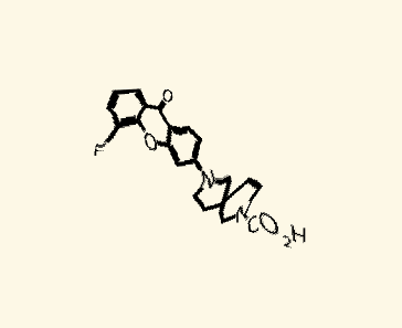 O=C(O)N1CCC2(CCN(c3ccc4c(=O)c5cccc(F)c5oc4c3)C2)C1